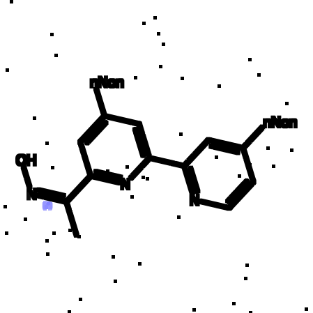 CCCCCCCCCc1ccnc(-c2cc(CCCCCCCCC)cc(/C(C)=N\O)n2)c1